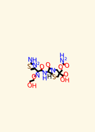 NC(=O)OCC1(C(=O)O)CS[C@@H]2C(NC(=O)C(=NOCCO)c3csc(N)n3)C(=O)N2C1